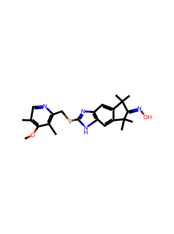 COc1c(C)cnc(CSc2nc3cc4c(cc3[nH]2)C(C)(C)C(=NO)C4(C)C)c1C